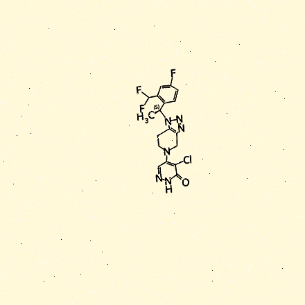 C[C@@H](c1ccc(F)cc1C(F)F)n1nnc2c1CCN(c1cn[nH]c(=O)c1Cl)C2